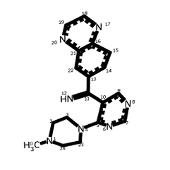 CN1CCN(c2ncncc2C(=N)c2ccc3nccnc3c2)CC1